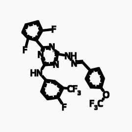 Fc1ccc(Nc2nc(NN=Cc3ccc(OC(F)(F)F)cc3)nc(-c3c(F)cccc3F)n2)cc1C(F)(F)F